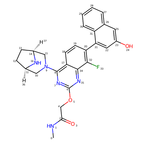 CNC(=O)COc1nc(N2C[C@H]3CC[C@@H](C2)N3)c2ccc(-c3cc(O)cc4ccccc34)c(F)c2n1